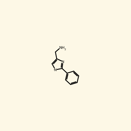 NCC1=C[N]C(c2ccccc2)=N1